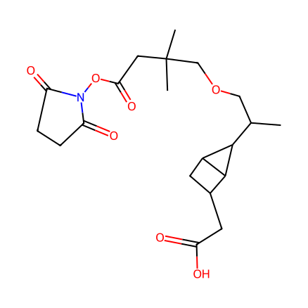 CC(COCC(C)(C)CC(=O)ON1C(=O)CCC1=O)C1C2CC(CC(=O)O)C21